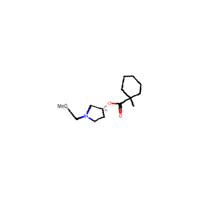 COCN1CC[C@@H](OC(=O)C2(C)CCCCC2)C1